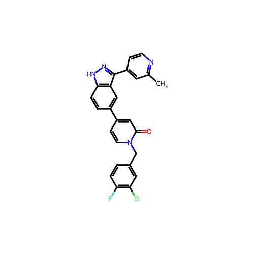 Cc1cc(-c2n[nH]c3ccc(-c4ccn(Cc5ccc(F)c(Cl)c5)c(=O)c4)cc23)ccn1